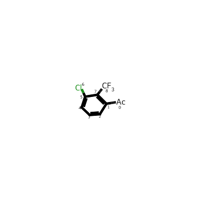 CC(=O)c1cccc(Cl)c1C(F)(F)F